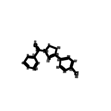 O=C(c1cccnc1)N1CCC(c2ccc(Cl)cc2)=N1